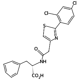 O=C(Cc1csc(-c2ccc(Cl)cc2Cl)n1)N[C@@H](Cc1ccccc1)C(=O)O